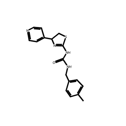 Cc1ccc(CNC(=O)NC2=NC(c3ccncc3)CS2)cc1